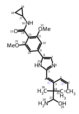 C/C=C\C(=C/c1ncc(-c2cc(OC)c(C(=O)NC3CC3)c(OC)c2)[nH]1)C(C)(C)C(N)O